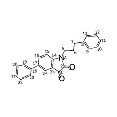 O=C1C(=O)N(CCCc2ccccc2)c2ccc(-c3ccccc3)cc21